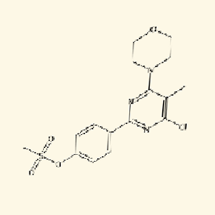 Cc1c(Cl)nc(-c2ccc(OS(C)(=O)=O)cc2)nc1N1CCOCC1